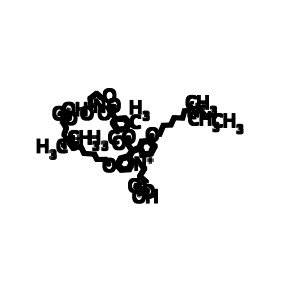 CCCC[N+](C)(C)CCCCCCOc1ccc2c(c1)c(C(=O)Oc1c(C)cc(C(=O)ON3C(=O)CCC3=O)cc1C)c1cc(OCCCCCC[N+](C)(C)CCCS(=O)(=O)O)ccc1[n+]2CCCS(=O)(=O)O